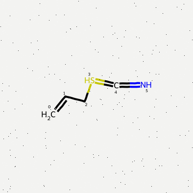 C=CC[SH]=C=N